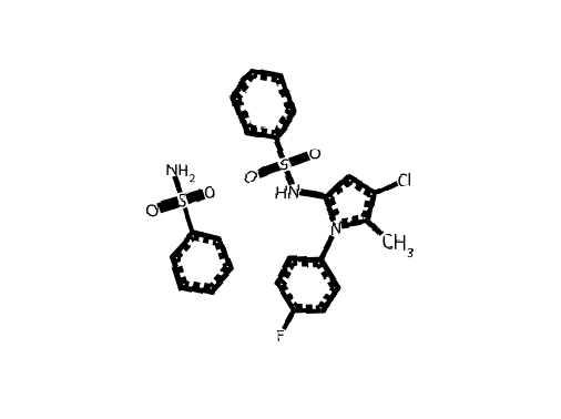 Cc1c(Cl)cc(NS(=O)(=O)c2ccccc2)n1-c1ccc(F)cc1.NS(=O)(=O)c1ccccc1